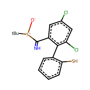 CC(C)(C)[S+]([O-])C(=N)c1cc(Cl)cc(Cl)c1-c1ccccc1S